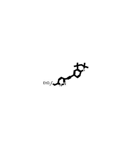 CCOC(=O)Cc1ccc(C#Cc2ccc3c(c2)C(C)(C)CC(C)(C)S3)nn1